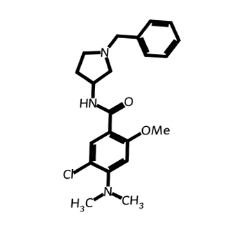 COc1cc(N(C)C)c(Cl)cc1C(=O)NC1CCN(Cc2ccccc2)C1